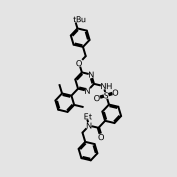 CCN(Cc1ccccc1)C(=O)c1cccc(S(=O)(=O)Nc2nc(OCc3ccc(C(C)(C)C)cc3)cc(-c3c(C)cccc3C)n2)c1